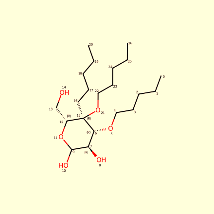 CCCCCO[C@@H]1[C@@H](O)[C](O)O[C@H](CO)[C@@]1(CCCCC)OCCCCC